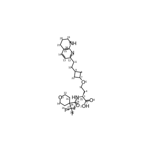 O=C(O)[C@H](CCOC1CC(CCc2ccc3c(n2)NCCC3)C1)NC(=O)C1(C(F)(F)F)CCOCC1